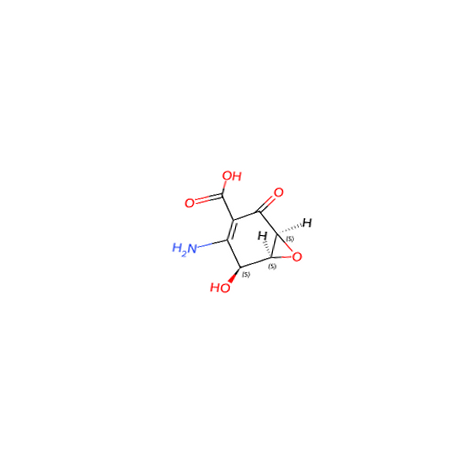 NC1=C(C(=O)O)C(=O)[C@H]2O[C@H]2[C@H]1O